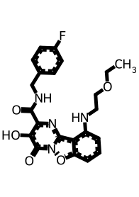 CCOCCNc1cccc2on3c(=O)c(O)c(C(=O)NCc4ccc(F)cc4)nc3c12